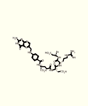 CC(=O)[C@H](CC(=O)O)NC(=O)[C@H](CCCNC(=N)N)NC(=O)[C@H](CC(=O)O)NC(=O)CC[C@H](NC(=O)c1ccc(NCc2cnc3nc(N)[nH]c(=O)c3n2)cc1)C(=O)O